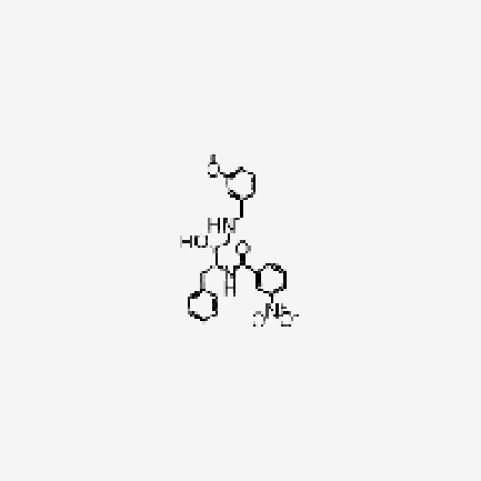 COc1cccc(CNC[C@@H](O)[C@H](Cc2ccccc2)NC(=O)c2cccc([N+](=O)[O-])c2)c1